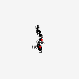 O=C(NC12CC(n3cc(-c4ccc(OC(F)(F)F)cn4)cn3)(C1)C2)[C@H]1C[C@@H](O)c2cc(Cl)ccc2O1